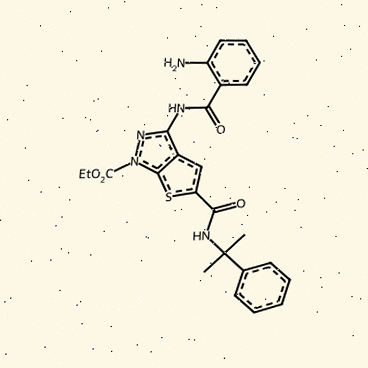 CCOC(=O)n1nc(NC(=O)c2ccccc2N)c2cc(C(=O)NC(C)(C)c3ccccc3)sc21